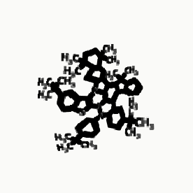 CC(C)(C)c1ccc(N2B3c4sc5ccc(C(C)(C)C)cc5c4-n4c5cc6c(cc5c5c7c(c(c3c54)-c3cc(C(C)(C)C)ccc32)-c2ccccc2C7(C)C)C(C)(C)CCC6(C)C)cc1